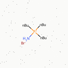 CCCC[P+](N)(CCCC)CCCC.[Br-]